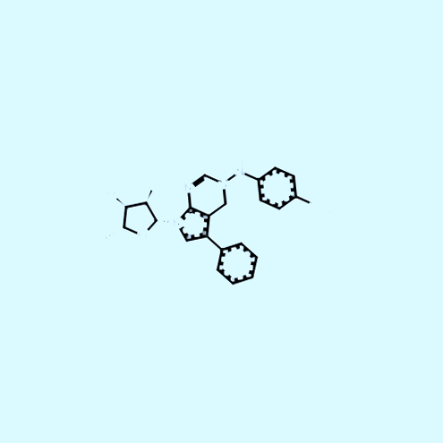 CCOC(=O)c1ccc(NN2C=Nc3c(c(-c4ccccc4)cn3[C@@H]3O[C@H](C)[C@@H](O)[C@H]3O)C2)cc1